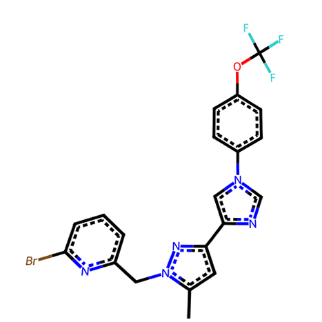 Cc1cc(-c2cn(-c3ccc(OC(F)(F)F)cc3)cn2)nn1Cc1cccc(Br)n1